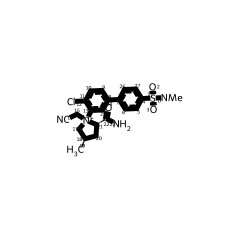 CNS(=O)(=O)c1ccc(-c2ccc(Cl)c([N+]3(CC#N)C[C@@H](C)C[C@H]3C(N)=O)c2)cc1